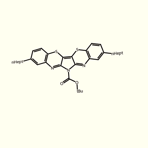 CCCCCCCc1ccc2c(c1)N=c1c(c3c(n1C(=O)OC(C)(C)C)=Nc1cc(CCCCCCC)ccc1S3)S2